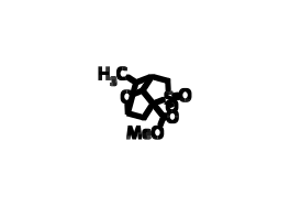 COC(=O)C12CC3OC1C(CS2(=O)=O)C3C